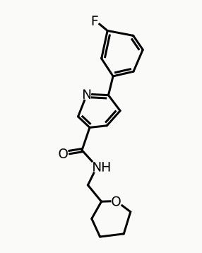 O=C(NCC1CCCCO1)c1ccc(-c2cccc(F)c2)nc1